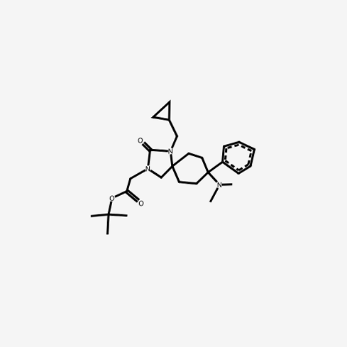 CN(C)C1(c2ccccc2)CCC2(CC1)CN(CC(=O)OC(C)(C)C)C(=O)N2CC1CC1